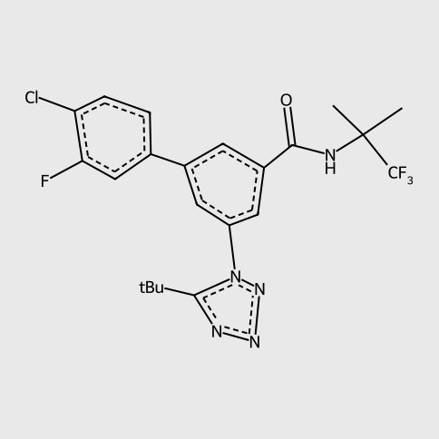 CC(C)(C)c1nnnn1-c1cc(C(=O)NC(C)(C)C(F)(F)F)cc(-c2ccc(Cl)c(F)c2)c1